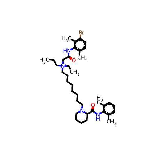 CCC[N+](CC)(CCCCCCCCN1CCCCC1C(=O)Nc1c(C)cccc1C)CC(=O)Nc1c(C)ccc(Br)c1C